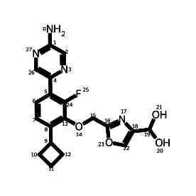 Nc1cnc(-c2ccc(C3CCC3)c(OCc3nc(C(O)O)co3)c2F)cn1